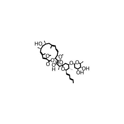 C/C=C/C=C/[C@H]1O[C@@](O)([C@@H](C)[C@H](O)[C@H](C)[C@H]2OC(=O)/C(OC)=C/C(C)=C/[C@@H](C)[C@@H](O)[C@@H](C)C/C(C)=C/C=C/[C@@H]2OC)C[C@@H](O[C@@H]2C[C@H](O)[C@@H](O)[C@H](C)O2)[C@@H]1C